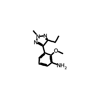 CCc1nn(C)nc1-c1cccc(N)c1OC